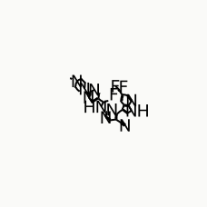 CC(Nc1ncc(C#N)c(-c2c[nH]c3ncc(C(F)(F)F)cc23)n1)c1cnc(N2CCN(C)CC2)nc1